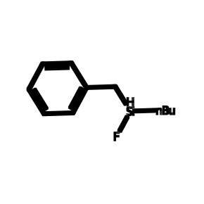 CCCC[SiH](F)Cc1ccccc1